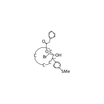 CSc1ccc(C2(C)CCCCCCCCCCC3(C(=O)Cc4ccccc4)CCC2(O)C(Br)O3)cc1